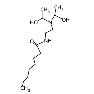 CCCCCCCC(=O)NCCN(C(C)O)C(C)O